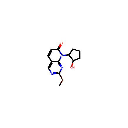 CSc1ncc2ccc(=O)n(C3CCCC3O)c2n1